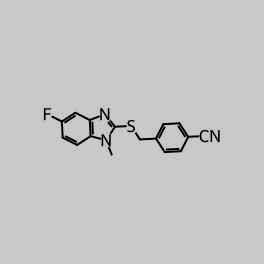 Cn1c(SCc2ccc(C#N)cc2)nc2cc(F)ccc21